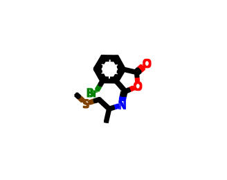 CSCC(C)/N=C1/OC(=O)c2cccc(Br)c21